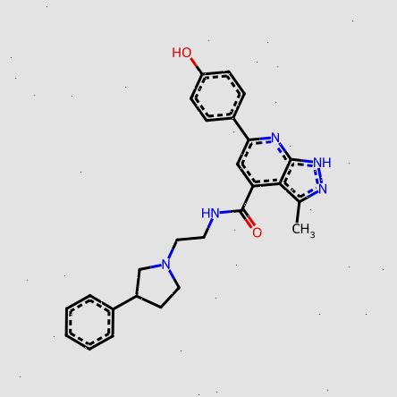 Cc1n[nH]c2nc(-c3ccc(O)cc3)cc(C(=O)NCCN3CCC(c4ccccc4)C3)c12